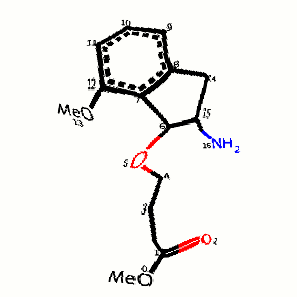 COC(=O)CCOC1c2c(cccc2OC)CC1N